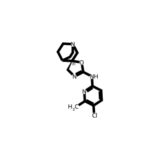 Cc1nc(NC2=NC[C@@]3(CN4CCC3CC4)O2)ccc1Cl